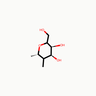 CC1[C@H](C)OC(CO)[C@@H](O)[C@H]1O